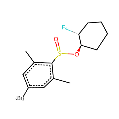 Cc1cc(C(C)(C)C)cc(C)c1S(=O)O[C@@H]1CCCC[C@H]1F